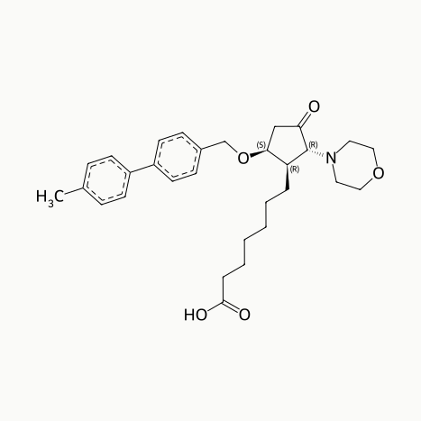 Cc1ccc(-c2ccc(CO[C@H]3CC(=O)[C@H](N4CCOCC4)[C@H]3CCCCCCC(=O)O)cc2)cc1